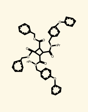 CCCN(Cc1ccc(Oc2ccccc2)cc1)C(=O)C1C(C(=O)OCc2ccccc2)C(C(=O)OCc2ccccc2)C1C(=O)N(CCC)Cc1ccc(Oc2ccccc2)cc1